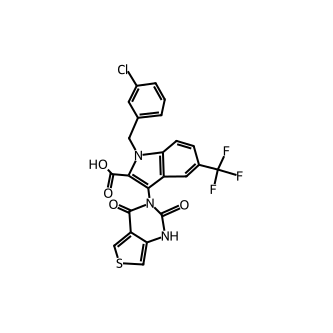 O=C(O)c1c(-n2c(=O)[nH]c3cscc3c2=O)c2cc(C(F)(F)F)ccc2n1Cc1cccc(Cl)c1